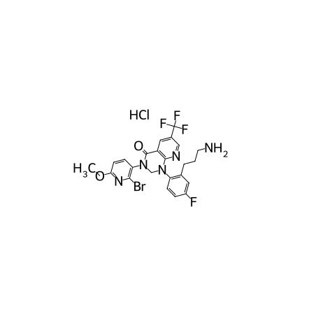 COc1ccc(N2CN(c3ccc(F)cc3CCCN)c3ncc(C(F)(F)F)cc3C2=O)c(Br)n1.Cl